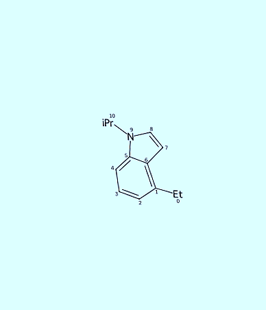 CCc1cccc2c1ccn2C(C)C